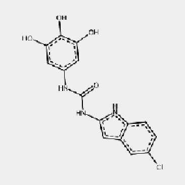 O=C(Nc1cc(O)c(O)c(O)c1)Nc1cc2cc(Cl)ccc2[nH]1